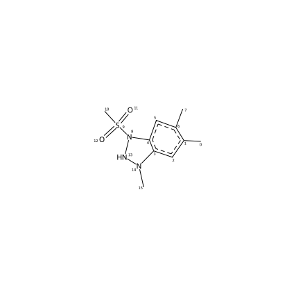 Cc1cc2c(cc1C)N(S(C)(=O)=O)NN2C